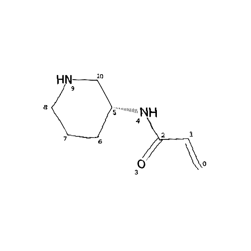 C=CC(=O)N[C@@H]1CCCNC1